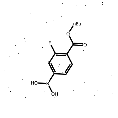 CCCCOC(=O)c1ccc(B(O)O)cc1F